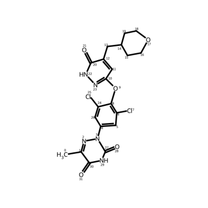 Cc1nn(-c2cc(Cl)c(Oc3cc(CC4CCOCC4)c(=O)[nH]n3)c(Cl)c2)c(=O)[nH]c1=O